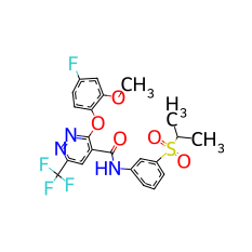 COc1cc(F)ccc1Oc1nnc(C(F)(F)F)cc1C(=O)Nc1cccc(S(=O)(=O)C(C)C)c1